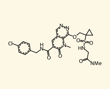 CNC(=O)CNS(=O)(=O)C1(COc2nncc3cc(C(=O)NCc4ccc(Cl)cc4)c(=O)n(C)c23)CC1